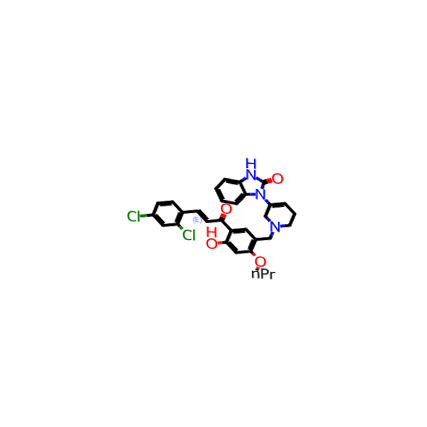 CCCOc1cc(O)c(C(=O)/C=C/c2ccc(Cl)cc2Cl)cc1CN1CCC=C(n2c(=O)[nH]c3ccccc32)C1